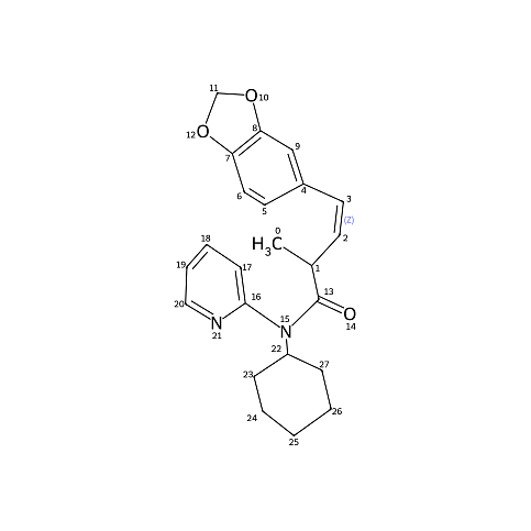 CC(/C=C\c1ccc2c(c1)OCO2)C(=O)N(c1ccccn1)C1CCCCC1